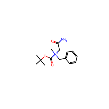 CC(C)(C)OC(=O)[N+](C)(CC(N)=O)Cc1ccccc1